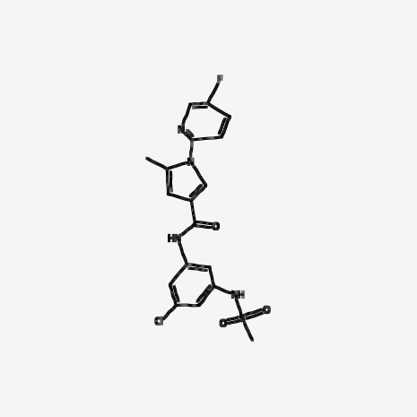 Cc1cc(C(=O)Nc2cc(Cl)cc(NS(C)(=O)=O)c2)cn1-c1ccc(F)cn1